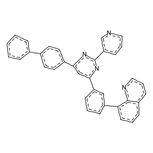 c1ccc(-c2ccc(-c3cc(-c4cccc(-c5cccc6cccnc56)c4)nc(-c4cccnc4)n3)cc2)cc1